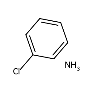 Clc1ccccc1.N